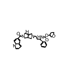 O=C(NC(CCN1CC2CN(C(=O)c3ccc4ncccc4c3)C[C@@H]2C1)c1ccccc1)OC1CCOC1